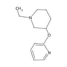 CCN1CCCC(Oc2ccccn2)C1